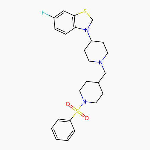 O=S(=O)(c1ccccc1)N1CCC(CN2CCC(N3CSc4cc(F)ccc43)CC2)CC1